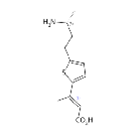 C/C(=C\C(=O)O)c1ccc(CC[C@@H](C)N)s1